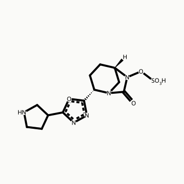 O=C1N2C[C@H](CC[C@H]2c2nnc(C3CCNC3)o2)N1OS(=O)(=O)O